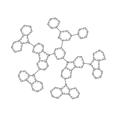 c1ccc(-c2cc(-c3ccccc3)nc(-c3cc(-n4c5ccc(-n6c7ccccc7c7ccccc76)cc5c5cc(-n6c7ccccc7c7ccccc76)ccc54)cc(-n4c5ccc(-n6c7ccccc7c7ccccc76)cc5c5cc(-n6c7ccccc7c7ccccc76)ccc54)c3)c2)cc1